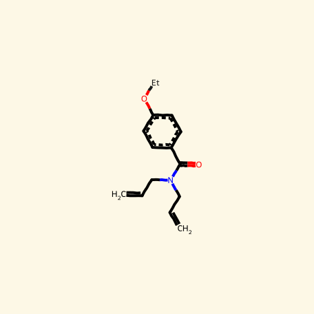 C=CCN(CC=C)C(=O)c1ccc(OCC)cc1